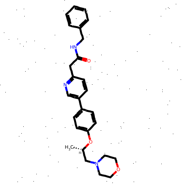 C[C@@H](CN1CCOCC1)Oc1ccc(-c2ccc(CC(=O)NCc3ccccc3)nc2)cc1